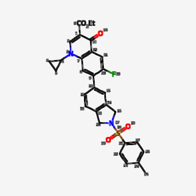 CCOC(=O)c1cn(C2CC2)c2cc(-c3ccc4c(c3)CN(S(=O)(=O)c3ccc(C)cc3)C4)c(F)cc2c1=O